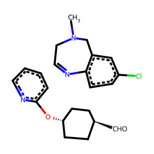 CN1CC=Nc2ccc(Cl)cc2C1.O=C[C@H]1CC[C@H](Oc2ccccn2)CC1